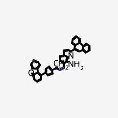 C=C(/C=C\c1ccc2ccc(-c3cc4ccccc4c4ccccc34)nc2c1N)c1ccc(-c2cccc3oc4ccccc4c23)cc1